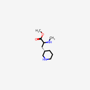 CNC(C[C@@H]1CCCNC1)C(=O)OC